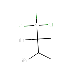 CC(C)C(C)C(C)(C(C)C)[Si](Cl)(Cl)Cl